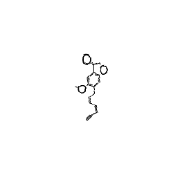 C#C/C=C\C=C/Cc1cc2c(cc1OC)C(=O)CO2